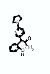 CC(=O)C(c1ccc(N2CCCC2)nc1)c1ccccc1O